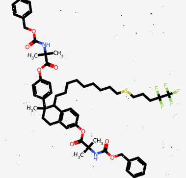 CC(C)(NC(=O)OCc1ccccc1)C(=O)Oc1ccc(C2(C)CCc3cc(OC(=O)C(C)(C)NC(=O)OCc4ccccc4)ccc3C2CCCCCCCCCSCCCC(F)(F)C(F)(F)F)cc1